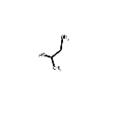 BCC(C)S